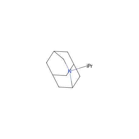 CC(C)N1CC2CC3CC(C2)CC1C3